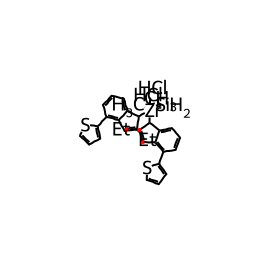 CCC1=Cc2c(-c3cccs3)cccc2[CH]1[Zr]([CH3])([CH3])(=[SiH2])[CH]1C(CC)=Cc2c(-c3cccs3)cccc21.Cl.Cl